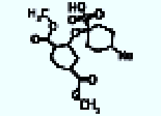 COC(=O)C1CCC(C(=O)OC)C(OC2(S(=O)(=O)O)CC[CH]([Na])CC2)C1